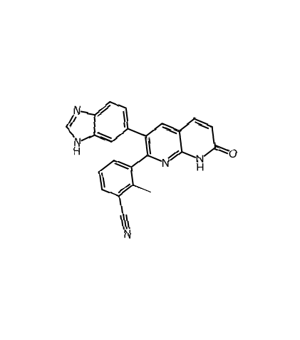 Cc1c(C#N)cccc1-c1nc2[nH]c(=O)ccc2cc1-c1ccc2nc[nH]c2c1